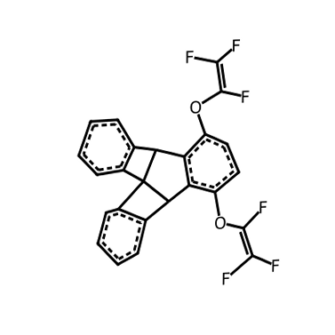 FC(F)=C(F)Oc1ccc(OC(F)=C(F)F)c2c1C1c3ccccc3C13c1ccccc1C23